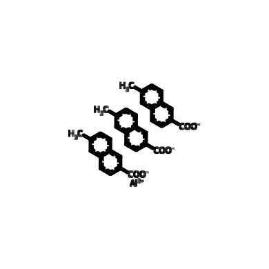 Cc1ccc2cc(C(=O)[O-])ccc2c1.Cc1ccc2cc(C(=O)[O-])ccc2c1.Cc1ccc2cc(C(=O)[O-])ccc2c1.[Al+3]